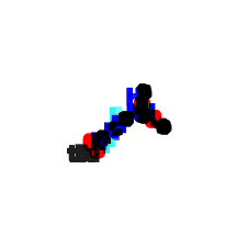 CC(C)(C)OC(=O)N1CCC(N2CCN(c3ccc(Nc4ccc(OCc5ccccc5)nc4OCc4ccccc4)cc3F)CC2)C(F)(F)C1